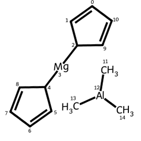 C1=C[CH]([Mg][CH]2C=CC=C2)C=C1.[CH3][Al]([CH3])[CH3]